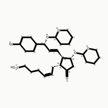 CCC1CCC([C@@H](/C=C/[C@H]2[C@H](OC3CCCCO3)CC(=O)[C@@H]2C/C=C\CCCC(=O)O)OC2CCCCO2)CC1